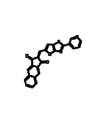 O=C1C(=Cc2cc3sc(-c4cccnc4)nc3o2)C(=O)c2cc3ccccc3cc21